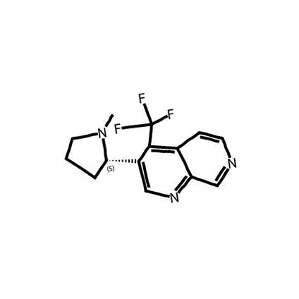 CN1CCC[C@H]1c1cnc2cnccc2c1C(F)(F)F